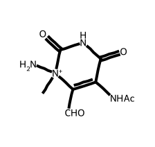 CC(=O)NC1=C(C=O)[N+](C)(N)C(=O)NC1=O